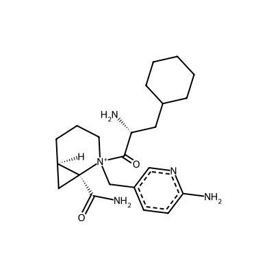 NC(=O)[C@]12C[C@H]1CCC[N+]2(Cc1ccc(N)nc1)C(=O)[C@H](N)CC1CCCCC1